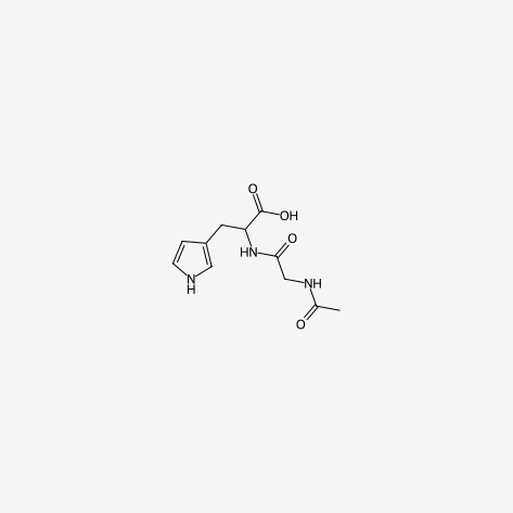 CC(=O)NCC(=O)NC(Cc1cc[nH]c1)C(=O)O